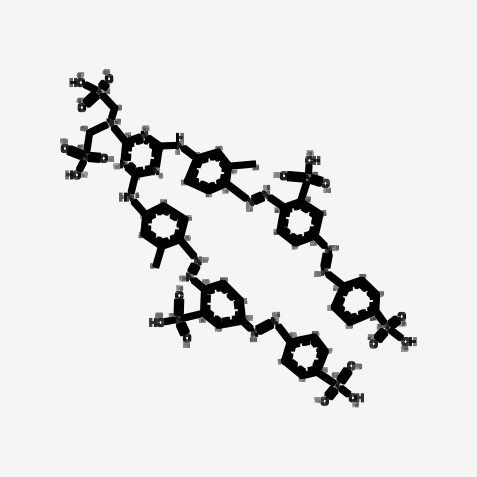 Cc1cc(Nc2nc(Nc3ccc(N=Nc4ccc(N=Nc5ccc(S(=O)(=O)O)cc5)cc4S(=O)(=O)O)c(C)c3)nc(N(CS(=O)(=O)O)CS(=O)(=O)O)n2)ccc1N=Nc1ccc(N=Nc2ccc(S(=O)(=O)O)cc2)cc1S(=O)(=O)O